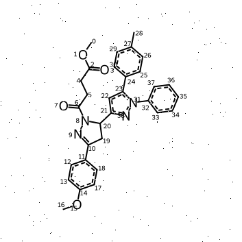 COC(=O)CCC(=O)N1N=C(c2ccc(OC)cc2)CC1c1cc(-c2ccc(C)cc2)n(-c2ccccc2)n1